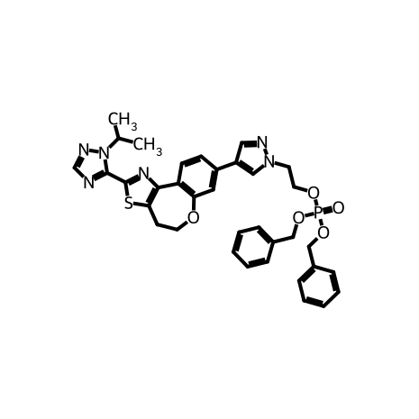 CC(C)n1ncnc1-c1nc2c(s1)CCOc1cc(-c3cnn(CCOP(=O)(OCc4ccccc4)OCc4ccccc4)c3)ccc1-2